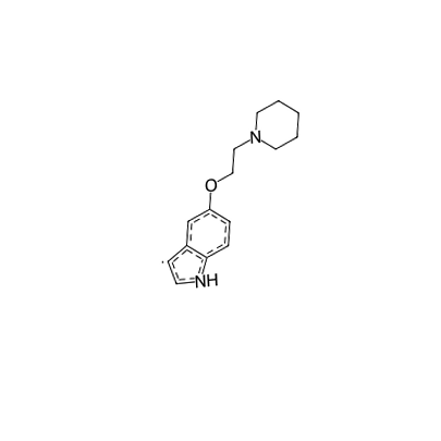 [c]1c[nH]c2ccc(OCCN3CCCCC3)cc12